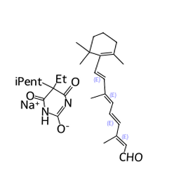 CC1=C(/C=C/C(C)=C/C=C/C(C)=C/C=O)C(C)(C)CCC1.CCCC(C)C1(CC)C(=O)N=C([O-])NC1=O.[Na+]